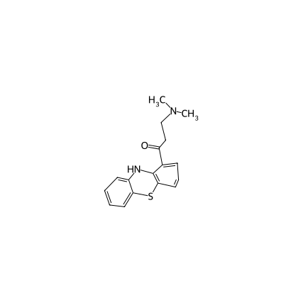 CN(C)CCC(=O)c1cccc2c1Nc1ccccc1S2